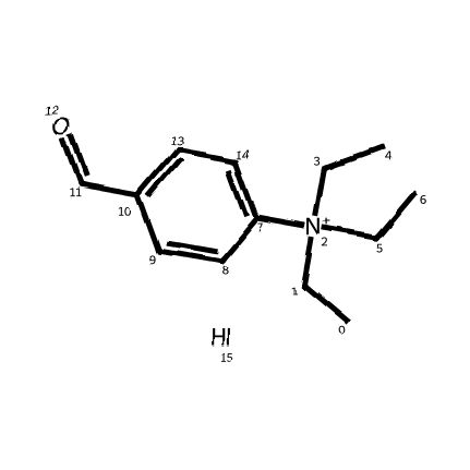 CC[N+](CC)(CC)c1ccc(C=O)cc1.I